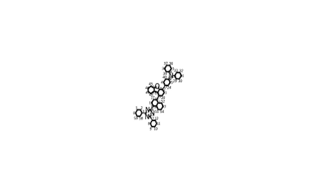 c1ccc(-c2nc(-c3ccccc3)nc(-c3ccc(-c4ccc(-c5ccc(N(c6ccccc6)c6ccccc6)cc5)c5oc6ccccc6c45)c4ccccc34)n2)cc1